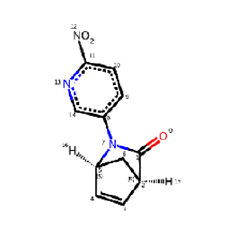 O=C1[C@H]2C=C[C@H](C2)N1c1ccc([N+](=O)[O-])nc1